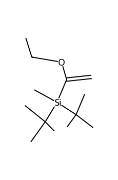 C=C(OCC)[Si](C)(C(C)(C)C)C(C)(C)C